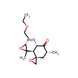 CO[C@@H]1C(=O)[C@H](C)C[C@]2(CO2)[C@H]1C1(C)O[C@@H]1CCOCC(F)(F)F